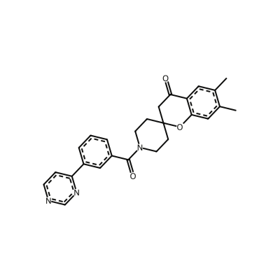 Cc1cc2c(cc1C)C(=O)CC1(CCN(C(=O)c3cccc(-c4ccncn4)c3)CC1)O2